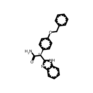 NC(=O)[C@@H](c1ccc(OCc2ccccc2)cc1)c1nc2ccccc2[nH]1